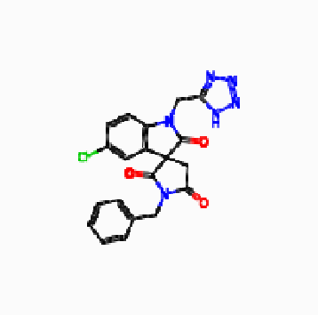 O=C1CC2(C(=O)N1Cc1ccccc1)C(=O)N(Cc1nnn[nH]1)c1ccc(Cl)cc12